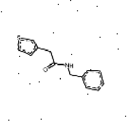 O=C(Cc1ccsc1)NCc1ccccc1